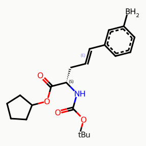 Bc1cccc(/C=C/C[C@H](NC(=O)OC(C)(C)C)C(=O)OC2CCCC2)c1